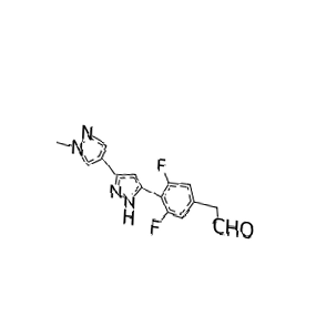 Cn1cc(-c2cc(-c3c(F)cc(CC=O)cc3F)[nH]n2)cn1